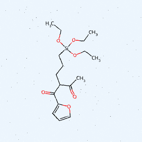 CCO[Si](CCCC(C(C)=O)C(=O)c1ccco1)(OCC)OCC